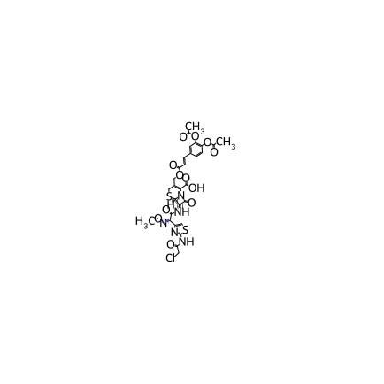 CO/N=C(\C(=O)N[C@@H]1C(=O)N2C(C(=O)O)=C(COC(=O)C=Cc3ccc(OC(C)=O)c(OC(C)=O)c3)CS[C@H]12)c1csc(NC(=O)CCl)n1